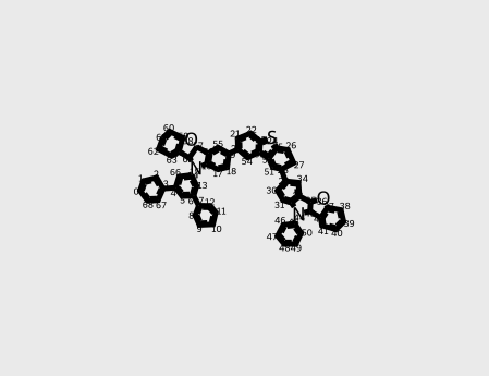 c1ccc(-c2cc(-c3ccccc3)cc(N3c4ccc(-c5ccc6sc7ccc(-c8ccc9c(c8)C8Oc%10ccccc%10C8N9c8ccccc8)cc7c6c5)cc4C4Oc5ccccc5C43)c2)cc1